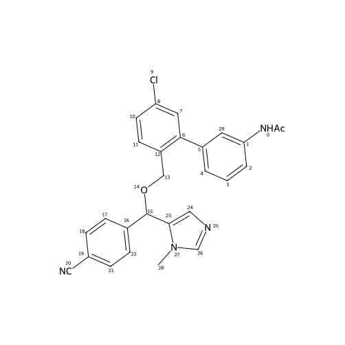 CC(=O)Nc1cccc(-c2cc(Cl)ccc2COC(c2ccc(C#N)cc2)c2cncn2C)c1